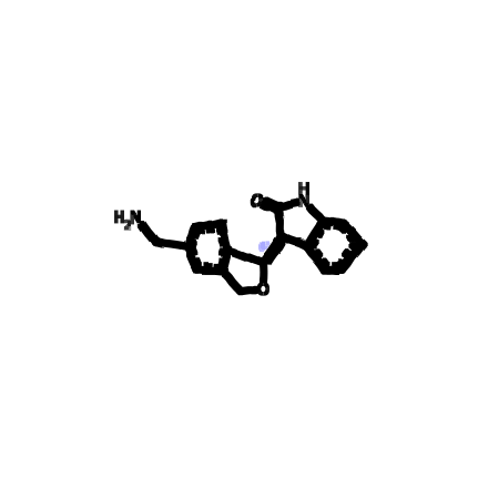 NCc1ccc2c(c1)CO/C2=C1/C(=O)Nc2ccccc21